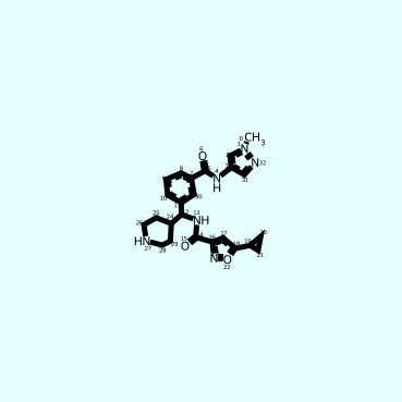 Cn1cc(NC(=O)c2cccc(C(NC(=O)c3cc(C4CC4)on3)C3CCNCC3)c2)cn1